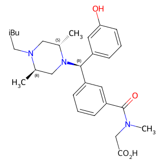 CCC(C)CN1C[C@H](C)N([C@@H](c2cccc(O)c2)c2cccc(C(=O)N(C)CC(=O)O)c2)C[C@H]1C